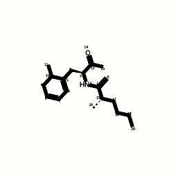 C=C(N[C@@H](CC1=CC=CCC1C)C(C)=O)[C@@H](C)CCCC